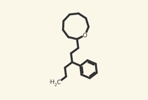 [CH2]CCC(CC[C]1CCCCCCCO1)c1ccccc1